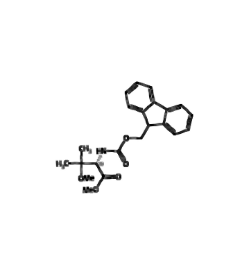 COC(=O)[C@@H](NC(=O)OCC1c2ccccc2-c2ccccc21)C(C)(C)OC